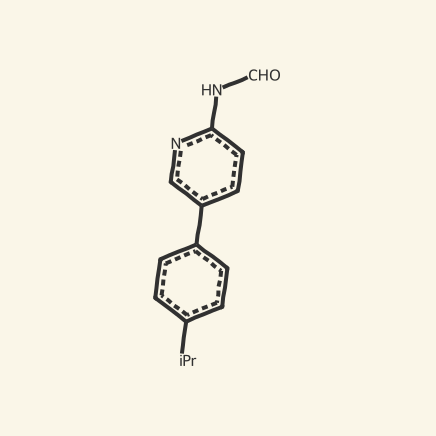 CC(C)c1ccc(-c2ccc(NC=O)nc2)cc1